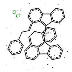 C(Cc1ccccc1)=c1cccc2c1=[C]([Zr+2][C]1=c3c(cccc3=CCc3ccccc3)-c3ccccc31)c1ccccc1-2.[Cl-].[Cl-]